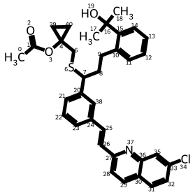 CC(=O)OC1(CSC(CCc2ccccc2C(C)(C)O)c2cccc(C=Cc3ccc4ccc(Cl)cc4n3)c2)CC1